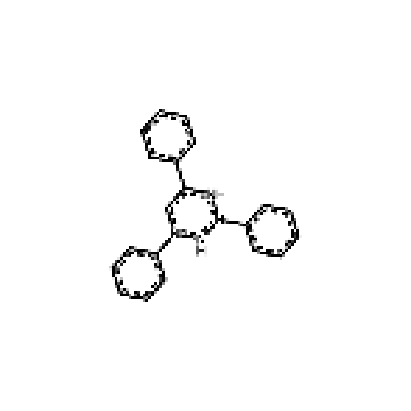 c1ccc(-c2cn(-c3ccccc3)[nH]n(-c3ccccc3)[nH]2)cc1